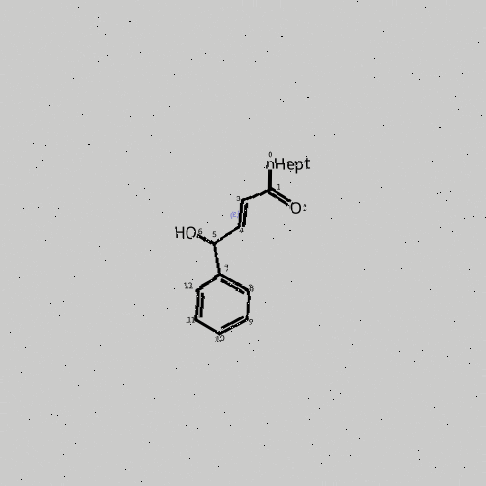 CCCCCCCC(=O)/C=C/C(O)c1ccccc1